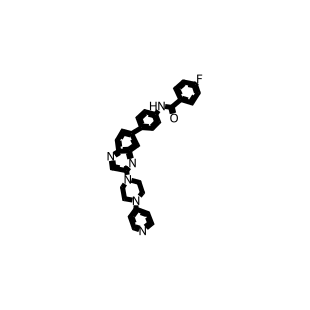 O=C(Nc1ccc(-c2ccc3ncc(N4CCN(c5ccncc5)CC4)nc3c2)cc1)c1ccc(F)cc1